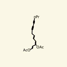 CCCC#CC#CC/C=C/C=C(\C=C\OC(C)=O)OC(C)=O